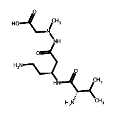 CC(C)[C@H](N)C(=O)N[C@@H](CCN)CC(=O)NN(C)CC(=O)O